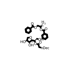 CC(COC(=O)c1ccccc1)OC(=O)c1ccccc1.CCCCCCCCCCCC(=O)O[C@H](CO)[C@H]1OC[C@H](O)[C@H]1O